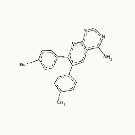 Cc1ccc(-c2cc3c(N)ncnc3nc2-c2ccc(Br)cc2)cc1